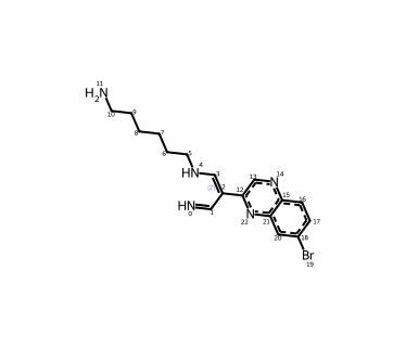 N=C/C(=C\NCCCCCCN)c1cnc2ccc(Br)cc2n1